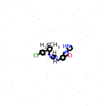 CC1(C)CCC(CN2C[C@@H]3C[C@H]2CN3Cc2ccc3c(c2)CN(C2CCCNC2)C3=O)=C(c2ccc(Cl)cc2)C1